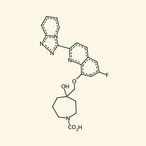 O=C(O)N1CCCC(O)(COc2cc(F)cc3ccc(-c4nnc5ccccn45)nc23)CC1